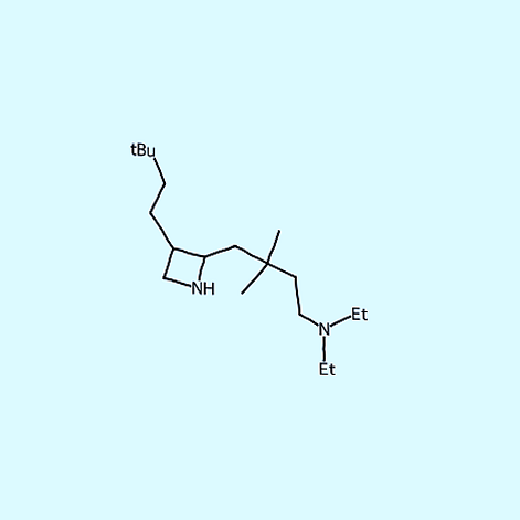 CCN(CC)CCC(C)(C)CC1NCC1CCC(C)(C)C